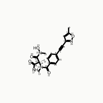 Cc1cc(C#Cc2ccc(C(=O)N(C)[C@@](C)(C(N)=O)C(=O)N(C)O)cc2)no1